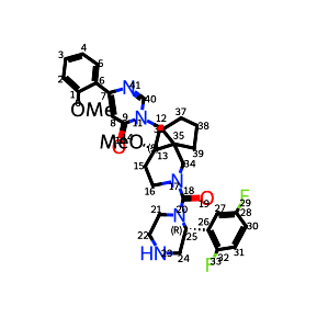 COc1ccccc1-c1cc(=O)n(C[C@]2(OC)CCN(C(=O)N3CCNC[C@H]3c3cc(F)ccc3F)CC23CCCC3)cn1